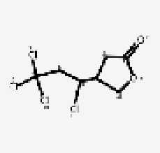 O=C1CC(C(Cl)CC(Cl)(Cl)Cl)CO1